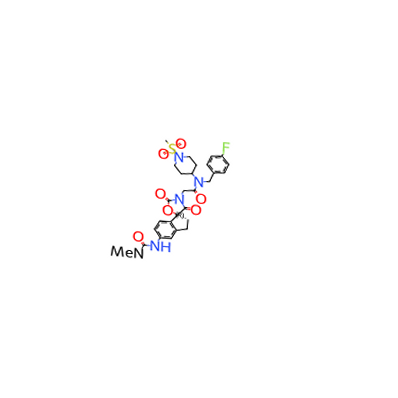 CNC(=O)Nc1ccc2c(c1)CC[C@@]21OC(=O)N(CC(=O)N(Cc2ccc(F)cc2)C2CCN(S(C)(=O)=O)CC2)C1=O